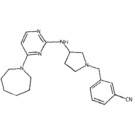 N#Cc1cccc(CN2CCC(Nc3nccc(N4CCCCCC4)n3)C2)c1